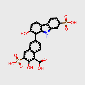 O=C(O)c1c(O)c(S(=O)(=O)O)cc2cc(-c3c(O)ccc4c3[nH]c3cc(S(=O)(=O)O)ccc34)ccc12